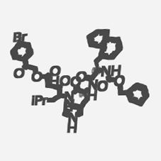 CC(C)CC(NC(=O)[C@H](Cc1c[nH]cn1)NC(=O)[C@@H](Cc1cccc2ccccc12)NC(=O)OCc1ccccc1)C(O)CC(=O)OCC(=O)c1ccc(Br)cc1